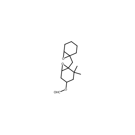 CC1(C)CC(OC=O)CC2OC21CC12CCCCC1O2